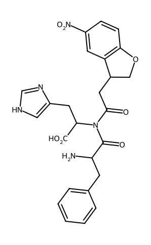 NC(Cc1ccccc1)C(=O)N(C(=O)CC1COc2ccc([N+](=O)[O-])cc21)C(Cc1c[nH]cn1)C(=O)O